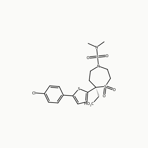 CN(C)S(=O)(=O)N1CC[C@](CC(=O)O)(c2ccc(-c3ccc(Cl)cc3)s2)S(=O)(=O)CC1